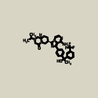 CC(C)N1CC(=O)N2C[C@@H](c3nc(-c4ccc(C(C)(O)c5cccc(C(F)(F)F)c5)cc4)c4c(N)nccn34)CC[C@@H]2C1